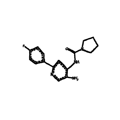 Nc1cnc(-c2ccc(F)cc2)cc1NC(=O)N1CCCC1